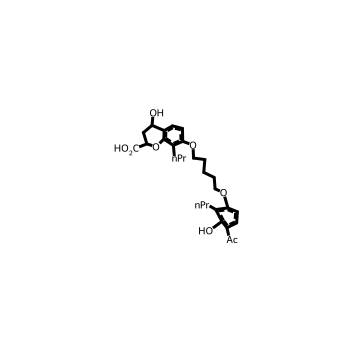 CCCc1c(OCCCCCOc2ccc3c(c2CCC)OC(C(=O)O)CC3O)ccc(C(C)=O)c1O